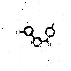 CC1CCN(C(=O)c2cc(-c3cccc(Cl)c3)ncn2)CC1